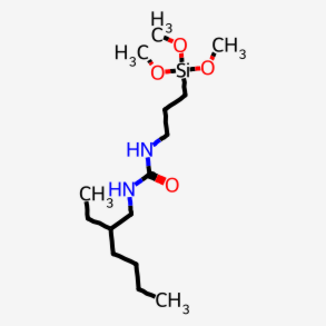 CCCCC(CC)CNC(=O)NCCC[Si](OC)(OC)OC